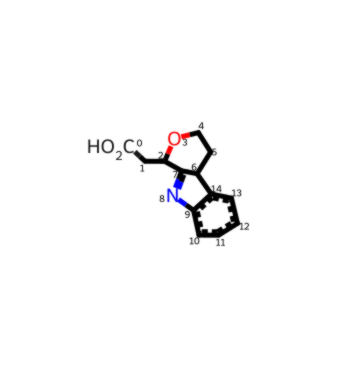 O=C(O)CC1OCCC2C1=Nc1ccccc12